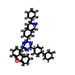 c1ccc(-c2ccc(-c3nc(-c4ccc5cc(-c6ccccc6)ncc5c4)nc(-c4cccc5oc6ccccc6c45)n3)cc2)cc1